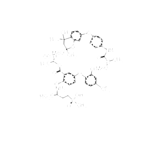 CON(C)C(=O)Nc1ccc(Oc2ccc3c(c2)OC(C)(OC)CC3(C)C)cc1.CP(=O)(O)CCC(N)C(=O)O.C[C@H](OC(=O)c1cc(Oc2ccc(C(F)(F)F)cc2Cl)ccc1Cl)C(=O)O